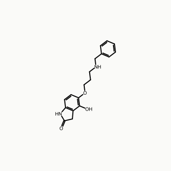 O=C1Cc2c(ccc(OCCCNCc3ccccc3)c2O)N1